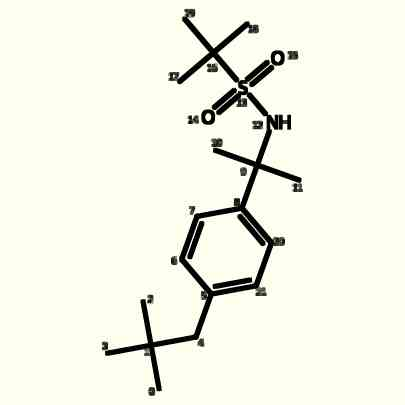 CC(C)(C)Cc1ccc(C(C)(C)NS(=O)(=O)C(C)(C)C)cc1